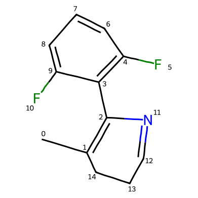 CC1=C(c2c(F)cccc2F)N=CCC1